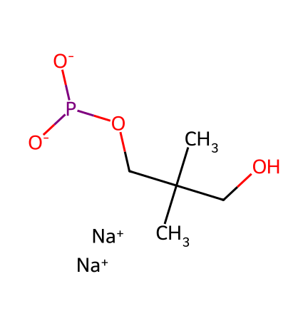 CC(C)(CO)COP([O-])[O-].[Na+].[Na+]